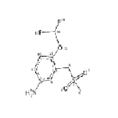 CS(=O)(=O)Cc1cc(N)ccc1OC(F)F